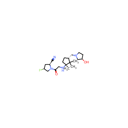 CC1(C)[C@@H](CN2CC[C@@H](O)C2)CC[C@@]1(C)NCC(=O)N1C[C@@H](F)C[C@H]1C#N